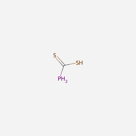 PC(=S)S